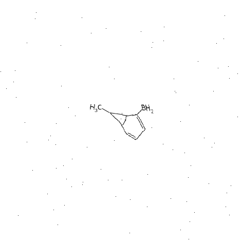 BC1=CC=CC2C(C)C12